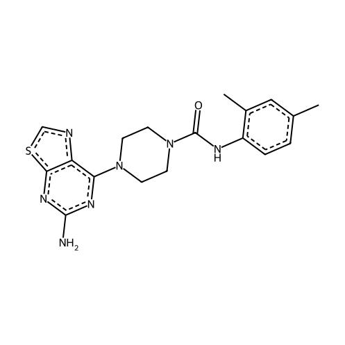 Cc1ccc(NC(=O)N2CCN(c3nc(N)nc4scnc34)CC2)c(C)c1